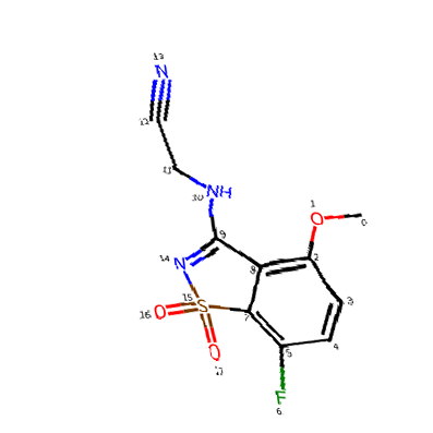 COc1ccc(F)c2c1C(NCC#N)=NS2(=O)=O